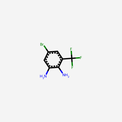 Nc1cc(Br)cc(C(F)(F)F)c1N